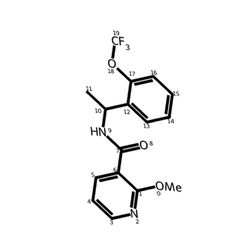 COc1ncccc1C(=O)NC(C)c1ccccc1OC(F)(F)F